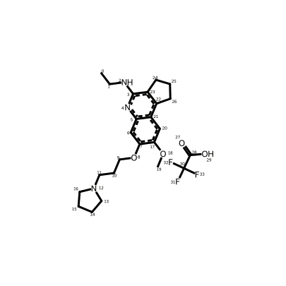 CCNc1nc2cc(OCCCN3CCCC3)c(OC)cc2c2c1CCC2.O=C(O)C(F)(F)F